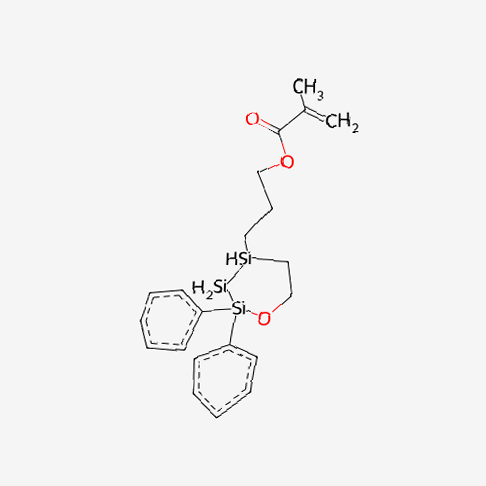 C=C(C)C(=O)OCCC[SiH]1CCO[Si](c2ccccc2)(c2ccccc2)[SiH2]1